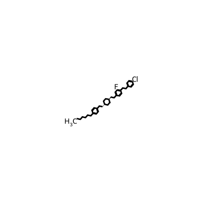 CCCCCCCc1ccc(CC[C@H]2CC[C@H](CCc3ccc(CCc4ccc(Cl)cc4)c(F)c3)CC2)cc1